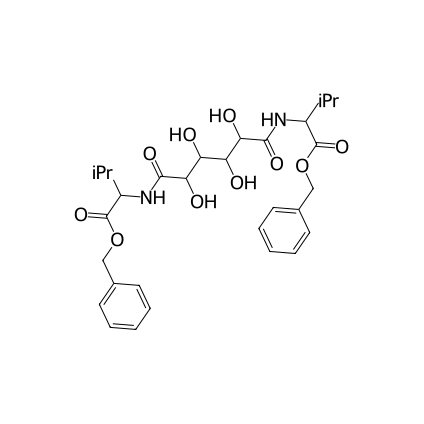 CC(C)C(NC(=O)C(O)C(O)C(O)C(O)C(=O)NC(C(=O)OCc1ccccc1)C(C)C)C(=O)OCc1ccccc1